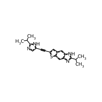 CC(C)c1ncc(C#Cc2cc3cc4[nH]c(C(C)C)nc4cc3s2)[nH]1